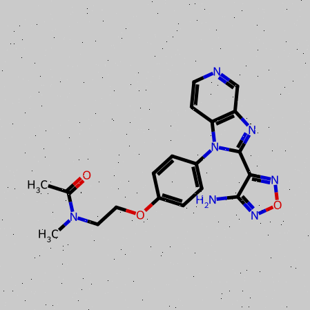 CC(=O)N(C)CCOc1ccc(-n2c(-c3nonc3N)nc3cnccc32)cc1